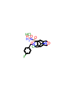 Cl.NS(=O)(=O)c1cc2c(cc1Cl)C1OC2N1C1CCN(Cc2ccc(F)cc2)CC1.O